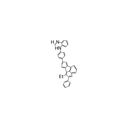 CCc1c(-c2ccccc2)cc2cccc3c2c1-c1ccc(-c2ccc(Nc4ccccc4N)cc2)cc1-3